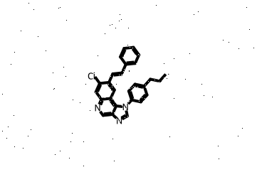 [CH2]CCc1ccc(-n2cnc3cnc4cc(Cl)c(C=Cc5ccccc5)cc4c32)cc1